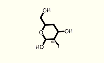 OCC1CC(O)[C@@H](I)C(O)O1